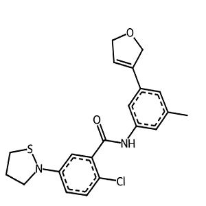 Cc1cc(NC(=O)c2cc(N3CCCS3)ccc2Cl)cc(C2=CCOC2)c1